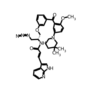 COc1ccc(N2CCCC(C)(C)C2)cc1C(=O)c1cccc(OC[C@@H](CN=[N+]=[N-])NC(=O)/C=C/c2c[nH]c3ncccc23)c1